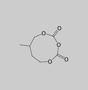 CC1CCOC(=O)OC(=O)OC1